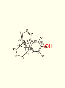 Cc1cc(C2(c3ccccc3)C3CCCC2CCC3)cc(C)c1O